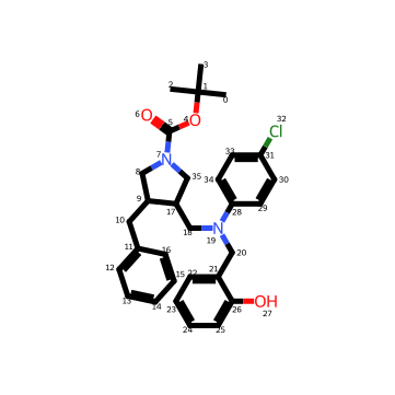 CC(C)(C)OC(=O)N1CC(Cc2ccccc2)C(CN(Cc2ccccc2O)c2ccc(Cl)cc2)C1